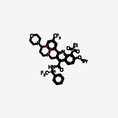 CCS(=O)(=O)c1c(OC(C)C)ccc2c(C(=O)N[C@H](c3ccccc3)C(F)(F)F)c(CN3CCC(N4CCOCC4)CC3)c(-c3cccc(C(F)(F)F)c3)nc12